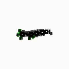 CC1CCC(c2ccc(-c3ccc(CCc4cc(F)c(F)c(F)c4)c(F)c3F)cc2)CC1